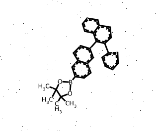 CC1(C)OB(c2ccc3cc(-c4c(-c5ccccc5)ccc5ccccc45)ccc3c2)OC1(C)C